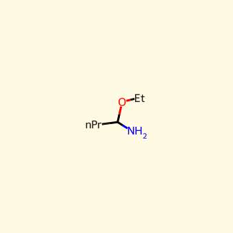 [CH2]CCC(N)OCC